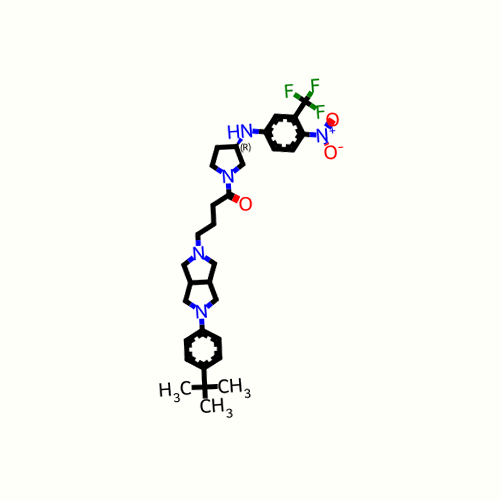 CC(C)(C)c1ccc(N2CC3CN(CCCC(=O)N4CC[C@@H](Nc5ccc([N+](=O)[O-])c(C(F)(F)F)c5)C4)CC3C2)cc1